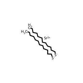 CCCCCCCCCCCC[S-].CCCCCCCCCCCC[S-].[Sr+2]